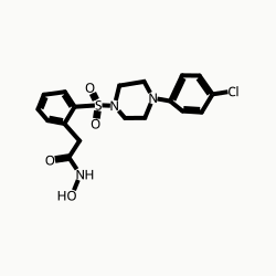 O=C(Cc1ccccc1S(=O)(=O)N1CCN(c2ccc(Cl)cc2)CC1)NO